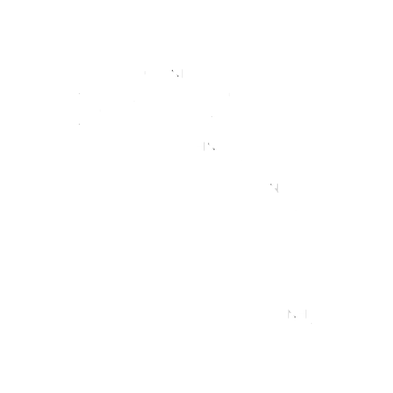 NCCCSN1CCC(NC(=O)C2C=C(C3CC3)ON2)C1